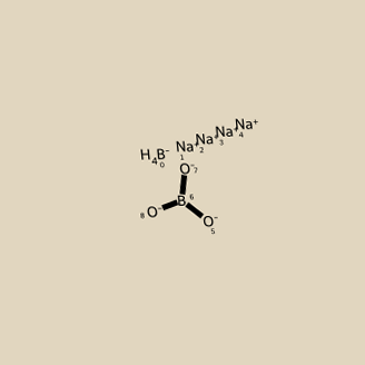 [BH4-].[Na+].[Na+].[Na+].[Na+].[O-]B([O-])[O-]